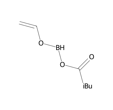 C=COBOC(=O)C(C)CC